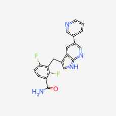 NC(=O)c1ccc(F)c(Cc2c[nH]c3ncc(-c4cccnc4)cc23)c1F